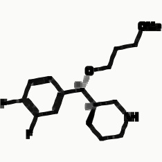 COCCCO[C@@H](c1ccc(F)c(F)c1)[C@@H]1CCCNC1